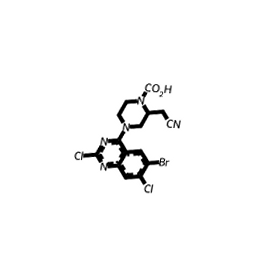 N#CCC1CN(c2nc(Cl)nc3cc(Cl)c(Br)cc23)CCN1C(=O)O